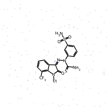 CCN1C(=O)/C(=N\N(C(N)=S)c2cccc(S(N)(=O)=O)c2)c2cccc(C(F)(F)F)c21